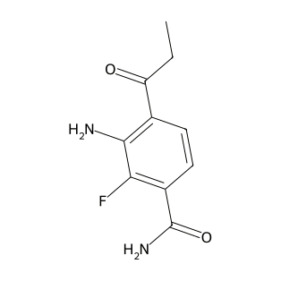 CCC(=O)c1ccc(C(N)=O)c(F)c1N